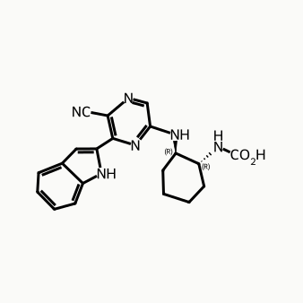 N#Cc1ncc(N[C@@H]2CCCC[C@H]2NC(=O)O)nc1-c1cc2ccccc2[nH]1